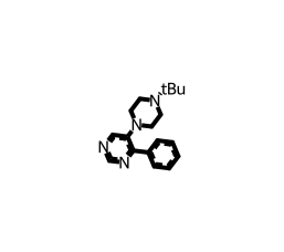 CC(C)(C)N1CCN(c2cncnc2-c2ccccc2)CC1